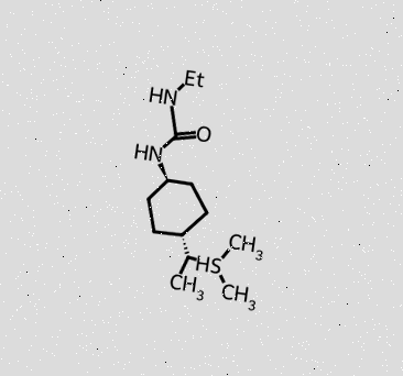 CCNC(=O)N[C@H]1CC[C@H](C(C)[SH](C)C)CC1